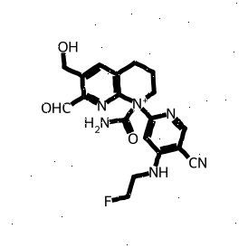 N#Cc1cnc([N+]2(C(N)=O)CCCc3cc(CO)c(C=O)nc32)cc1NCCF